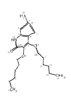 CCCCCCOc1c(OCCCCCC)c2ccc(N)cc2[nH]c1=O